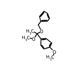 COc1ccc(C(C)(OC)OCc2ccccc2)cc1